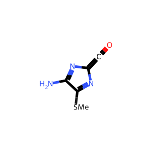 CSC1=NC(=C=O)N=C1N